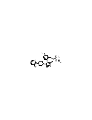 CC(C)N1Cc2cc(Cl)ccc2-n2c(nnc2C2CCC(c3ncccc3F)CC2)C1